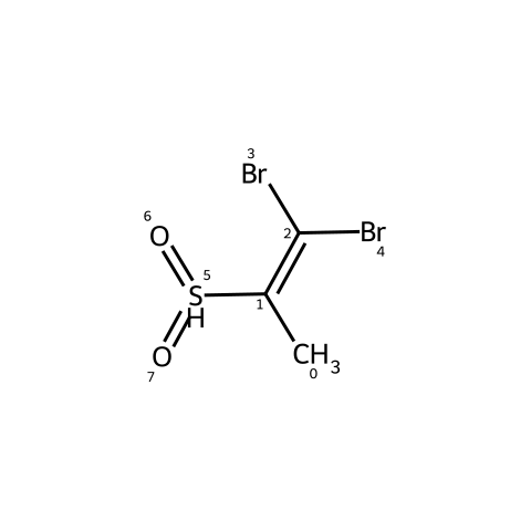 CC(=C(Br)Br)[SH](=O)=O